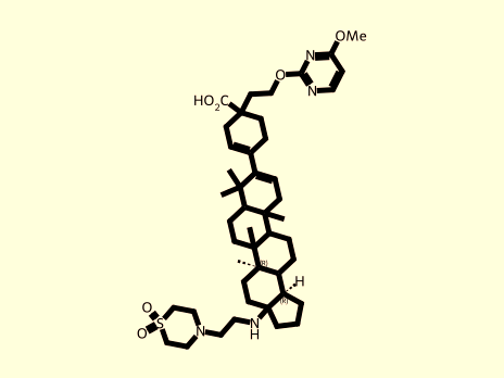 COc1ccnc(OCCC2(C(=O)O)CC=C(C3=CCC4(C)C(CCC5(C)C4CCC4[C@H]6CCCC6(NCCN6CCS(=O)(=O)CC6)CC[C@]45C)C3(C)C)CC2)n1